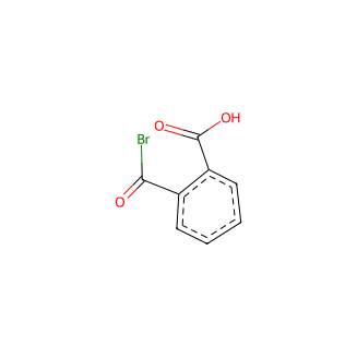 O=C(O)c1ccccc1C(=O)Br